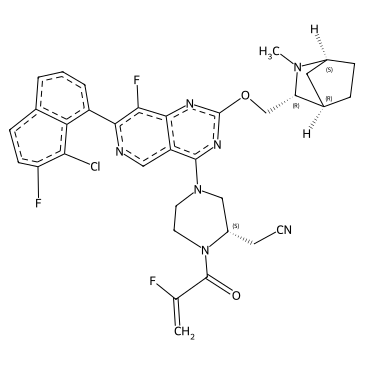 C=C(F)C(=O)N1CCN(c2nc(OC[C@H]3[C@@H]4CC[C@@H](C4)N3C)nc3c(F)c(-c4cccc5ccc(F)c(Cl)c45)ncc23)C[C@@H]1CC#N